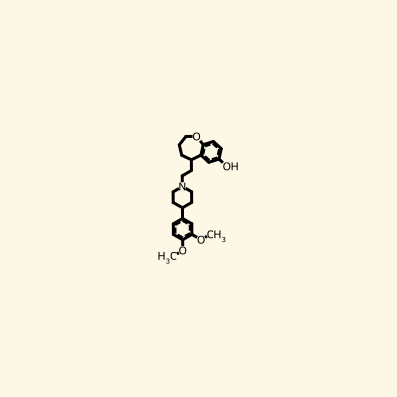 COc1ccc(C2CCN(CCC3CCCOc4ccc(O)cc43)CC2)cc1OC